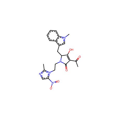 CC(=O)C1=C(O)C(Cc2cn(C)c3ccccc23)N(CCn2c([N+](=O)[O-])cnc2C)C1=O